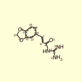 N=C(N)NC(=O)C=Cc1ccc2c(c1)OCO2